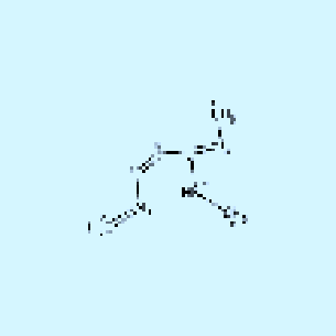 C=N/C=C\C(=C/C)NC